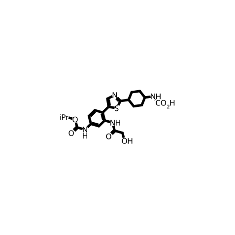 CC(C)OC(=O)Nc1ccc(-c2cnc(C3CCC(NC(=O)O)CC3)s2)c(NC(=O)CO)c1